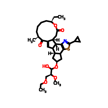 CCOC[C@H](OC)C(O)O[C@@H]1CC2c3sc(C4CC4)nc3[C@@H]3C(C=C4C(=O)[C@H](C)CCCC[C@H](CC)OC(=O)C[C@H]43)[C@@H]2C1